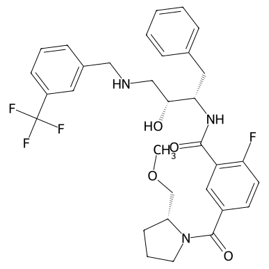 COC[C@H]1CCCN1C(=O)c1ccc(F)c(C(=O)N[C@@H](Cc2ccccc2)[C@H](O)CNCc2cccc(C(F)(F)F)c2)c1